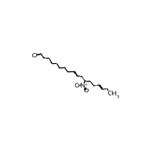 CC/C=C/CCC(C/C=C/CCCCCCC[C]=O)[N+](=O)[O-]